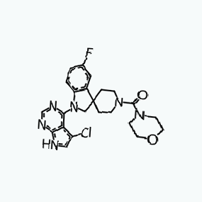 O=C(N1CCOCC1)N1CCC2(CC1)CN(c1ncnc3[nH]cc(Cl)c13)c1ccc(F)cc12